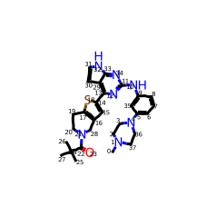 CN1CCN(c2cccc(Nc3nc(-c4cc5c(s4)CCN(C(=O)C(C)(C)C)C5)c4cc[nH]c4n3)c2)CC1